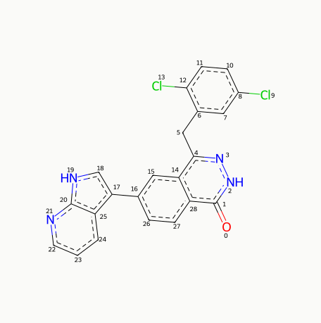 O=c1[nH]nc(Cc2cc(Cl)ccc2Cl)c2cc(-c3c[nH]c4ncccc34)ccc12